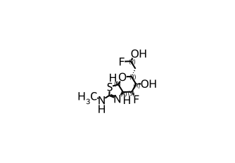 CNC1=N[C@@H]2[C@H](F)[C@H](O)[C@@H](C[C@H](O)F)O[C@@H]2S1